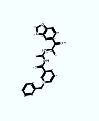 CC(NC(=O)C1=CN(Cc2ccccc2)C=CC1)NC(C)C(=O)c1ccc2c(c1)OCO2